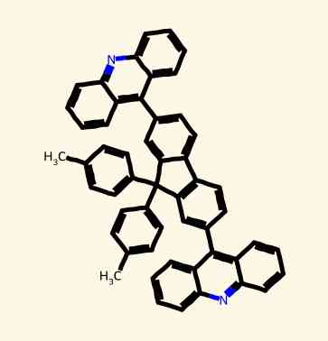 Cc1ccc(C2(c3ccc(C)cc3)c3cc(-c4c5ccccc5nc5ccccc45)ccc3-c3ccc(-c4c5ccccc5nc5ccccc45)cc32)cc1